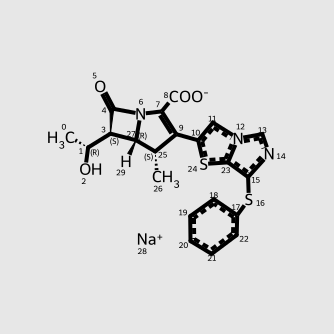 C[C@@H](O)[C@H]1C(=O)N2C(C(=O)[O-])=C(c3cn4cnc(Sc5ccccc5)c4s3)[C@H](C)[C@H]12.[Na+]